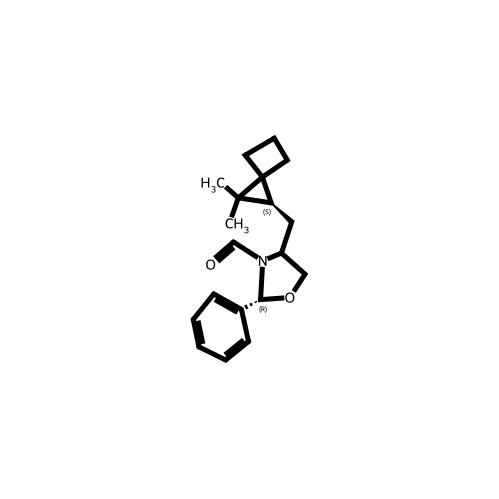 CC1(C)[C@H](CC2CO[C@H](c3ccccc3)N2C=O)C12CCC2